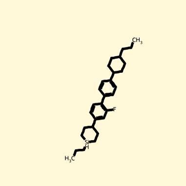 CCCC1CCC(c2ccc(-c3ccc(C4CC[SiH](CCC)CC4)cc3F)cc2)CC1